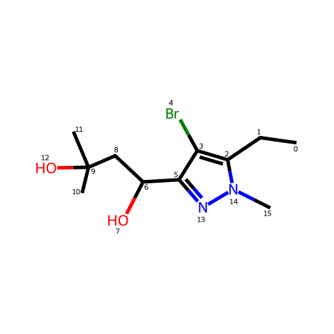 CCc1c(Br)c(C(O)CC(C)(C)O)nn1C